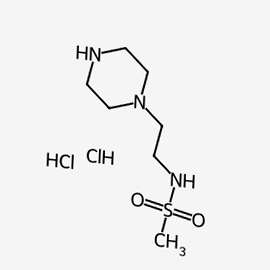 CS(=O)(=O)NCCN1CCNCC1.Cl.Cl